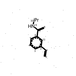 C=Cc1cccc(C(=C)NC(C)C)c1